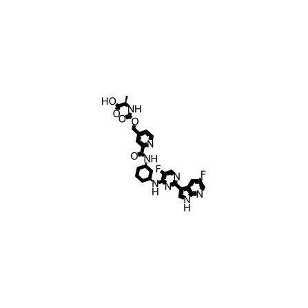 C[C@@H](NC(=O)OCc1ccnc(C(=O)N[C@@H]2CCC[C@H](Nc3nc(-c4c[nH]c5ncc(F)cc45)ncc3F)C2)c1)C(=O)O